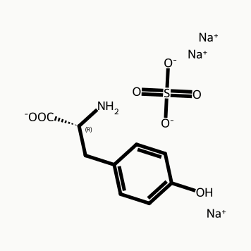 N[C@H](Cc1ccc(O)cc1)C(=O)[O-].O=S(=O)([O-])[O-].[Na+].[Na+].[Na+]